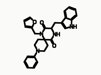 O=C1C(Cc2c[nH]c3ccccc23)NC(=O)C2(CCN(c3ccccc3)CC2)N1Cc1ccco1